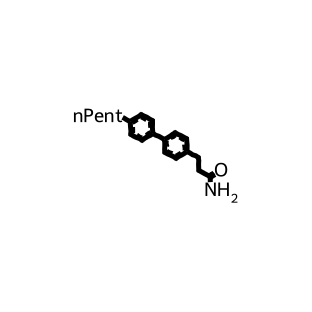 CCCCCc1ccc(-c2ccc(CCC(N)=O)cc2)cc1